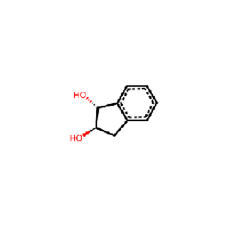 O[C@@H]1Cc2ccccc2[C@H]1O